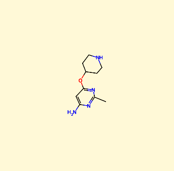 Cc1nc(N)cc(OC2CCNCC2)n1